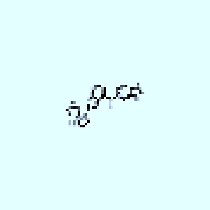 c1cc(Nc2ccc3scnc3c2)c2cc([C@@H]3CCN[C@]34CCOC4)sc2n1